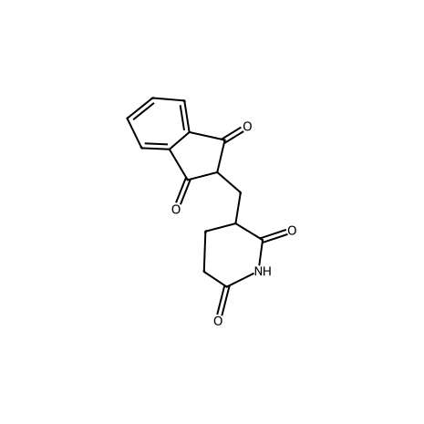 O=C1CCC(CC2C(=O)c3ccccc3C2=O)C(=O)N1